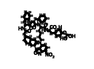 O=C(Cc1ccc2ccccc2c1)N[C@H](Cc1ccccc1)C(=O)N[C@H](Cc1ccccc1)C(=O)N[C@H](CCCCNc1ccc([N+](=O)[O-])c2nonc12)C(=O)N[C@H](Cc1ccc(OP(O)O)cc1)C(=O)O